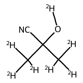 [2H]OC(C#N)(C([2H])([2H])[2H])C([2H])([2H])[2H]